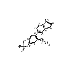 COc1cc(OC(F)(F)F)ccc1-c1ccn2nccc2c1